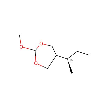 CC[C@@H](C)C1COC(OC)OC1